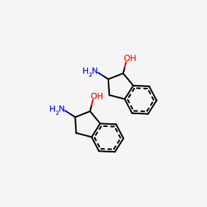 NC1Cc2ccccc2C1O.NC1Cc2ccccc2C1O